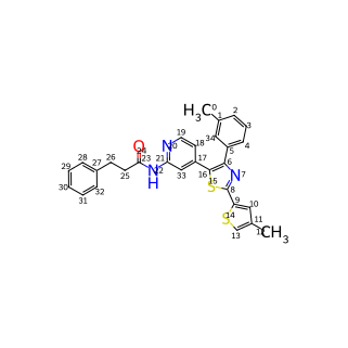 Cc1cccc(-c2nc(-c3cc(C)cs3)sc2-c2ccnc(NC(=O)CCc3ccccc3)c2)c1